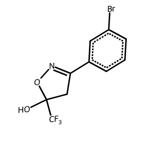 OC1(C(F)(F)F)CC(c2cccc(Br)c2)=NO1